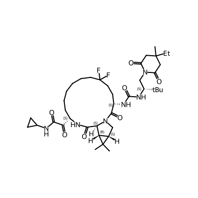 CCC1(C)CC(=O)N(C[C@@H](NC(=O)N[C@H]2CCC(F)(F)CCCCCC[C@@H](C(=O)C(=O)NC3CC3)NC(=O)[C@@H]3[C@@H]4[C@H](CN3C2=O)C4(C)C)C(C)(C)C)C(=O)C1